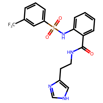 O=C(NCCc1c[nH]cn1)c1ccccc1NS(=O)(=O)c1cccc(C(F)(F)F)c1